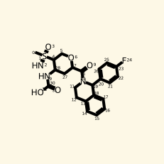 CS(=N)(=O)C1COC(C(=O)N2CCc3ccccc3C2c2ccc(F)cc2)CC1NC(=O)O